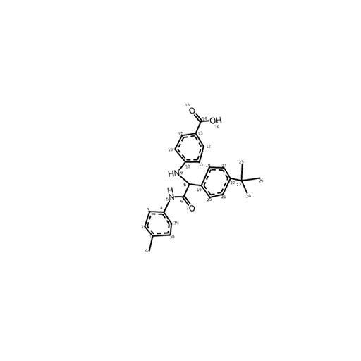 Cc1ccc(NC(=O)C(Nc2ccc(C(=O)O)cc2)c2ccc(C(C)(C)C)cc2)cc1